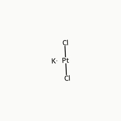 [Cl][Pt][Cl].[K]